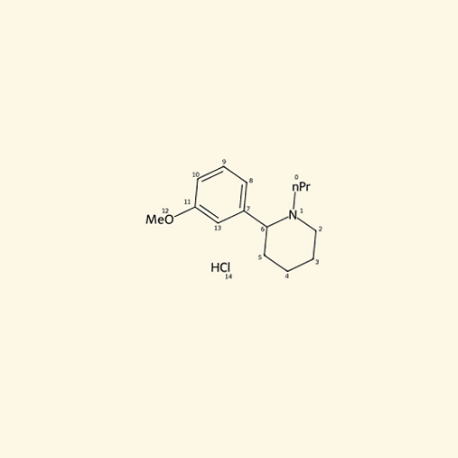 CCCN1CCCCC1c1cccc(OC)c1.Cl